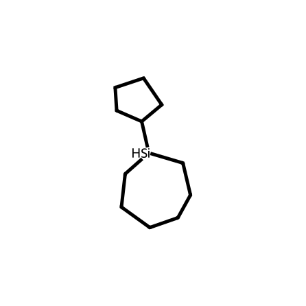 C1CCC[SiH](C2CCCC2)CC1